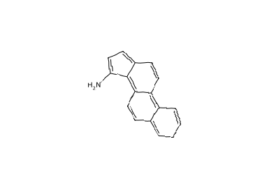 NC1=CC=c2ccc3c4c(ccc3c21)=CCC=C4